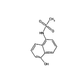 CS(=O)(=O)Nc1cccc2c(O)cccc12